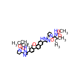 COC(=O)N[C@H](C(=O)N1CCC[C@H]1c1ncc(-c2ccc3c4c(ccc3c2)-c2ccc(-c3cnc(C5CCCN5C(=O)OC(C)(C)C)[nH]3)cc2CO4)[nH]1)C(C)C